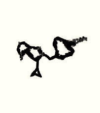 COc1ccc(Cn2nc3cncnc3c2C2CC2)cc1